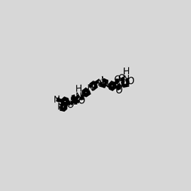 C[C@H]1CN(c2ccc3c(c2)C(=O)N(C2CCC(=O)NC2=O)C3=O)CCN1CC1CCN(c2ccc(C(=O)NC3C(C)(C)C(Oc4ccc(C#N)c5ncccc45)C3(C)C)cc2)CC1